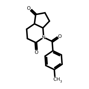 Cc1ccc(C(=O)N2C(=O)CCC3C(=O)CCC32)cc1